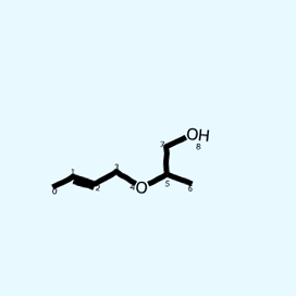 C/C=C/COC(C)CO